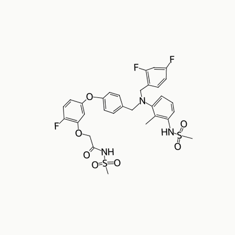 Cc1c(NS(C)(=O)=O)cccc1N(Cc1ccc(Oc2ccc(F)c(OCC(=O)NS(C)(=O)=O)c2)cc1)Cc1ccc(F)cc1F